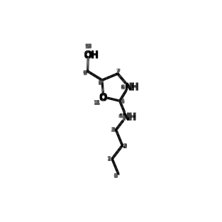 CCCCNC1NCC(CO)O1